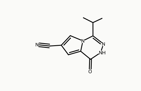 CC(C)c1n[nH]c(=O)c2cc(C#N)cn12